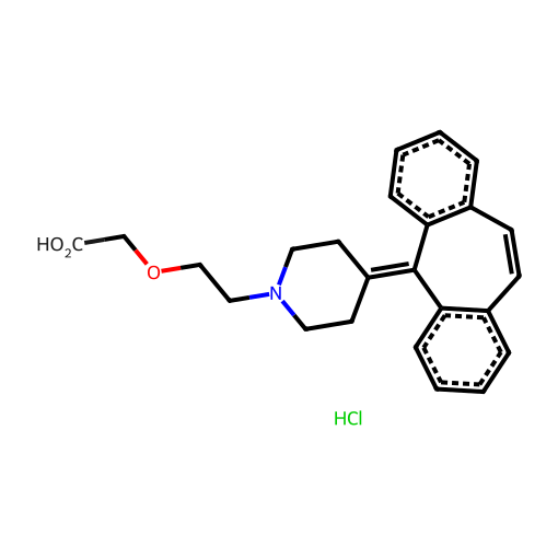 Cl.O=C(O)COCCN1CCC(=C2c3ccccc3C=Cc3ccccc32)CC1